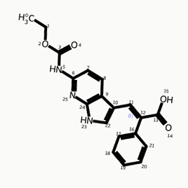 CCOC(=O)Nc1ccc2c(/C=C(/C(=O)O)c3ccccc3)c[nH]c2n1